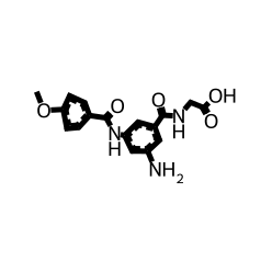 COc1ccc(C(=O)Nc2cc(N)cc(C(=O)NCC(=O)O)c2)cc1